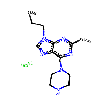 COCCn1cnc2c(N3CCNCC3)nc(OC)nc21.Cl.Cl